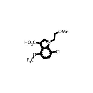 COCCn1cc(C(=O)O)c2c(OC(F)(F)F)ccc(Cl)c21